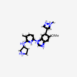 COc1cc2ncn(-c3ccc(C)c(NC4CCNC4)n3)c2cc1-c1cnn(C)c1